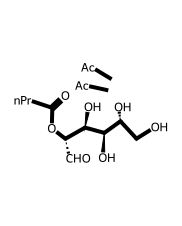 CC(C)=O.CC(C)=O.CCCC(=O)O[C@@H](C=O)[C@@H](O)[C@H](O)[C@H](O)CO